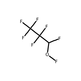 FOC(F)C(F)(F)C(F)(F)F